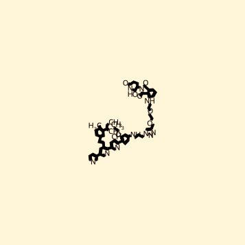 C=C(CC)c1cc(/C=C/c2cc(-c3cccnc3)cnc2-c2cnc(-c3ccc(NCCCn4cc(COCCOCCNc5cccc6c5C(=O)N(C5CCC(=O)NC5=O)C6=O)nn4)cc3OCCC)c(C)c2)ccc1C